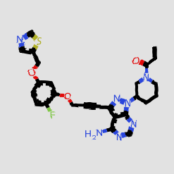 C=CC(=O)N1CCCC(n2nc(C#CCOc3cc(OCc4cncs4)ccc3F)c3c(N)ncnc32)C1